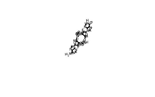 Nc1ncnc2c1ncn2[C@@H]1O[C@@H]2CNS(=O)(=O)O[C@H]3[C@@H](F)[C@H](n4cnc5c(=O)[nH]cnc54)O[C@@H]3CO[P@@](=O)(S)O[C@H]2[C@H]1F